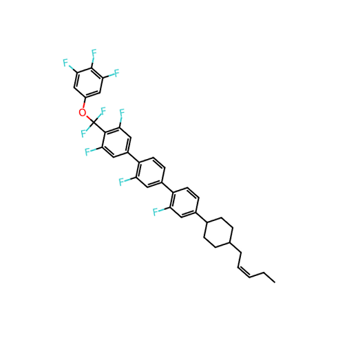 CC/C=C\CC1CCC(c2ccc(-c3ccc(-c4cc(F)c(C(F)(F)Oc5cc(F)c(F)c(F)c5)c(F)c4)c(F)c3)c(F)c2)CC1